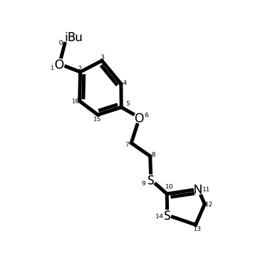 CCC(C)Oc1ccc(OCCSC2=NCCS2)cc1